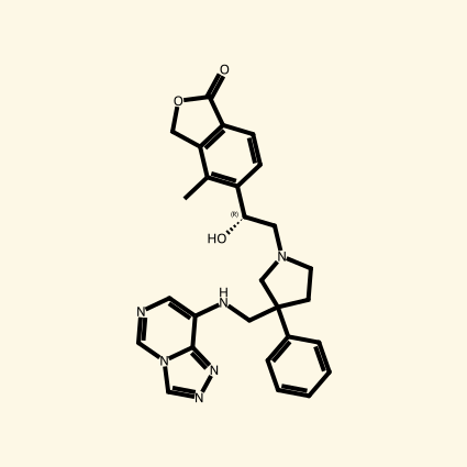 Cc1c([C@@H](O)CN2CCC(CNc3cncn4cnnc34)(c3ccccc3)C2)ccc2c1COC2=O